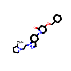 COC1CCCN1CCn1ncc2cc(-n3ccc(OCc4ccccc4)cc3=O)ccc21